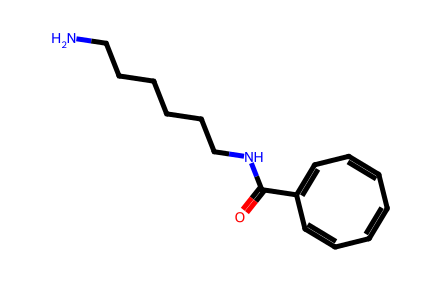 NCCCCCCNC(=O)C1=C/C=C\C=C/C=C\1